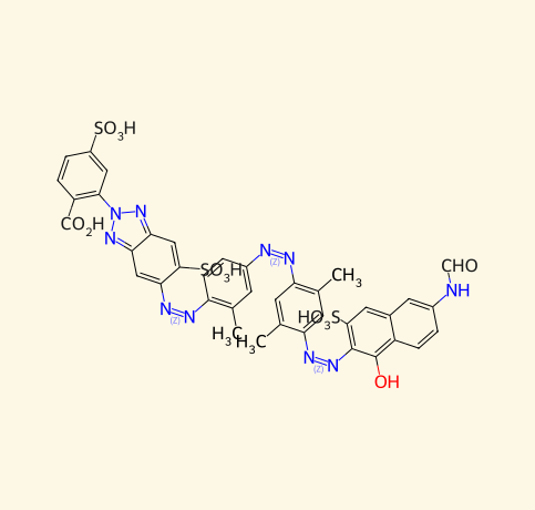 Cc1cc(/N=N\c2c(S(=O)(=O)O)cc3cc(NC=O)ccc3c2O)c(C)cc1/N=N\c1ccc(/N=N\c2cc3nn(-c4cc(S(=O)(=O)O)ccc4C(=O)O)nc3cc2S(=O)(=O)O)c(C)c1